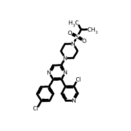 CC(C)S(=O)(=O)N1CCN(c2cnc(-c3ccc(Cl)cc3)c(-c3ccncc3Cl)n2)CC1